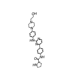 O=C(Nc1ccc(-c2ccnc(Nc3ccc(N4CCN(CCO)CC4)cc3)n2)cc1)[C@H]1CCCN1